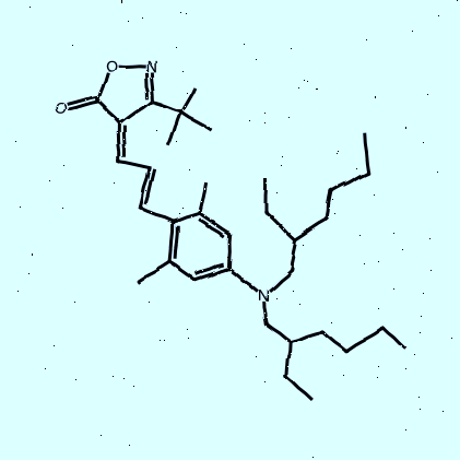 CCCCC(CC)CN(CC(CC)CCCC)c1cc(C)c(C=CC=C2C(=O)ON=C2C(C)(C)C)c(C)c1